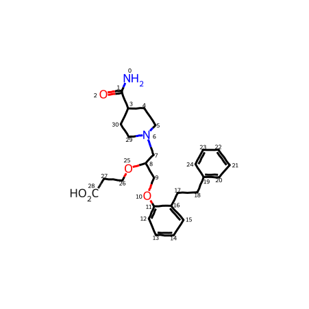 NC(=O)C1CCN(CC(COc2ccccc2CCc2ccccc2)OCCC(=O)O)CC1